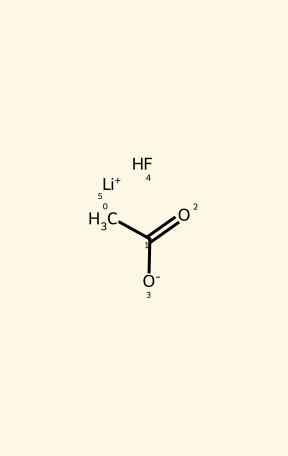 CC(=O)[O-].F.[Li+]